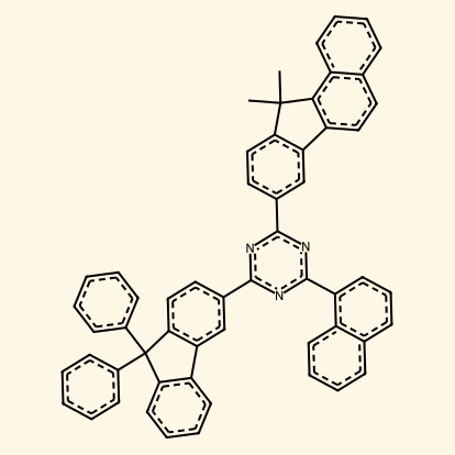 CC1(C)c2ccc(-c3nc(-c4ccc5c(c4)-c4ccccc4C5(c4ccccc4)c4ccccc4)nc(-c4cccc5ccccc45)n3)cc2-c2ccc3ccccc3c21